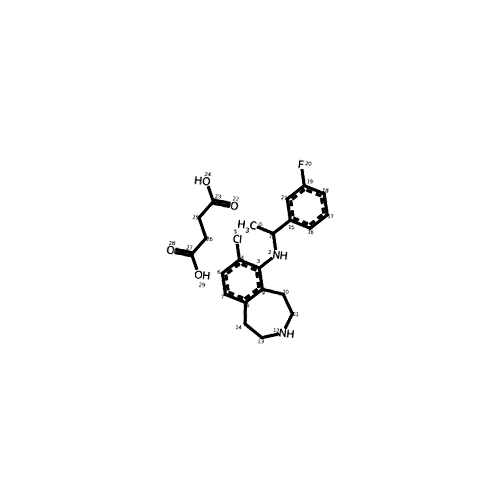 CC(Nc1c(Cl)ccc2c1CCNCC2)c1cccc(F)c1.O=C(O)CCC(=O)O